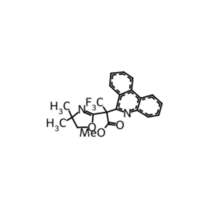 COC(=O)C(C1=NC(C)(C)CO1)(c1nc2ccccc2c2ccccc12)C(F)(F)F